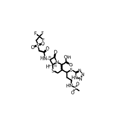 CS(=O)(=O)NCCC(Sc1nnn[nH]1)C1=C(C(=O)O)N2C(=O)[C@@H](NC(=O)CS(=O)(=O)CC(F)(F)F)[C@@H]2SC1